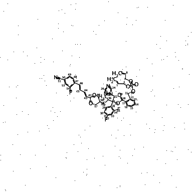 C=CCOP(=O)(OCC=C)OCc1ccccc1C(=O)OC(Cn1cncn1)(c1ccc(F)cc1F)C(C)SC1COC(C=CC=Cc2ccc(C#N)cc2F)OC1